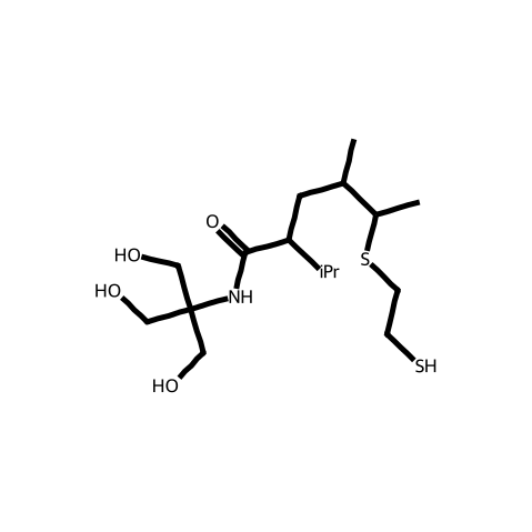 CC(C)C(CC(C)C(C)SCCS)C(=O)NC(CO)(CO)CO